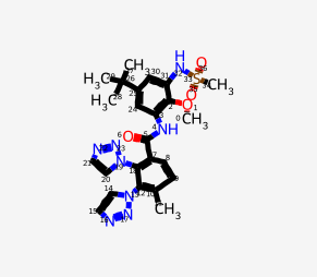 COc1c(NC(=O)c2ccc(C)c(-n3ccnn3)c2-n2ccnn2)cc(C(C)(C)C)cc1NS(C)(=O)=O